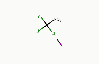 CI.O=[N+]([O-])C(Cl)(Cl)Cl